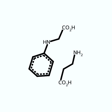 NCCC(=O)O.O=C(O)CNc1ccccc1